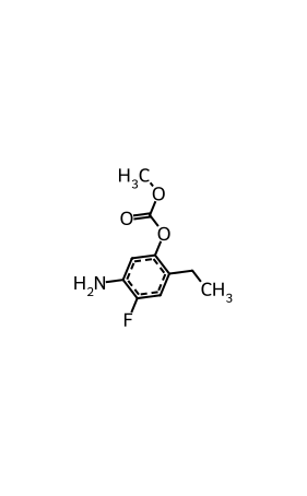 CCc1cc(F)c(N)cc1OC(=O)OC